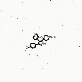 CN1CCC(O)(c2[nH]nc(-c3ccc(Cl)cc3)c2-c2ccncc2)CC1